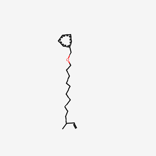 C=CC(C)CCCCCCCCCCOCc1ccccc1